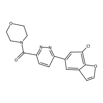 O=C(c1ccc(-c2cc(Cl)c3occc3c2)nn1)N1CCOCC1